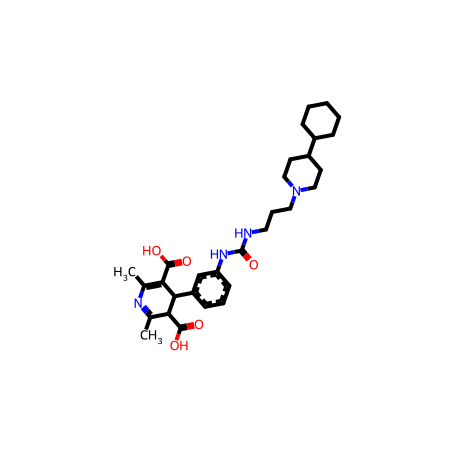 CC1=NC(C)=C(C(=O)O)C(c2cccc(NC(=O)NCCCN3CCC(C4CCCCC4)CC3)c2)C1C(=O)O